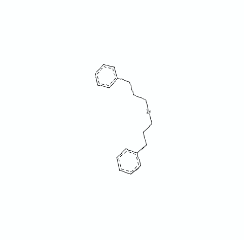 c1ccc(CC[CH2][Zn][CH2]CCc2ccccc2)cc1